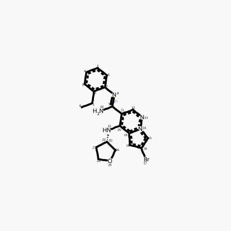 CCc1ccccc1/N=C(\N)c1cnn2cc(Br)cc2c1N[C@H]1CCOC1